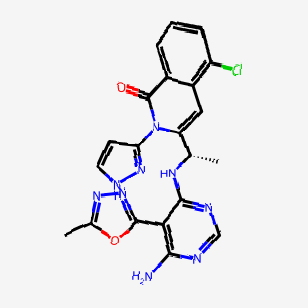 Cc1nnc(-c2c(N)ncnc2N[C@@H](C)c2cc3c(Cl)cccc3c(=O)n2-c2cc[nH]n2)o1